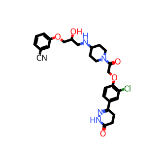 N#Cc1cccc(OCC(O)CNC2CCN(C(=O)COc3ccc(C4=NNC(=O)CC4)cc3Cl)CC2)c1